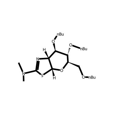 CCCCOC[C@H]1O[C@@H]2SC(N(C)C)=N[C@@H]2[C@@H](OCCCC)[C@@H]1OCCCC